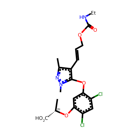 CCNC(=O)OCC=Cc1c(C)nn(C)c1Oc1cc(O[C@@H](C)C(=O)O)c(Cl)cc1Cl